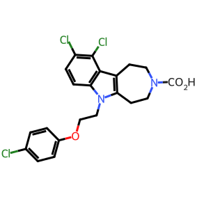 O=C(O)N1CCc2c(n(CCOc3ccc(Cl)cc3)c3ccc(Cl)c(Cl)c23)CC1